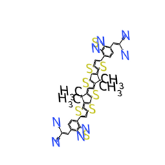 CC1(C)c2c(sc3cc(-c4ccc(C=C(C#N)C#N)c5nsnc45)sc23)-c2sc3c4c(sc3c21)-c1sc2cc(-c3ccc(C=C(C#N)C#N)c5nsnc35)sc2c1C4(C)C